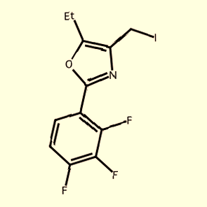 CCc1oc(-c2ccc(F)c(F)c2F)nc1CI